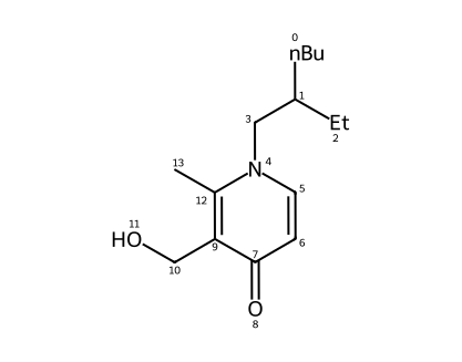 CCCCC(CC)Cn1ccc(=O)c(CO)c1C